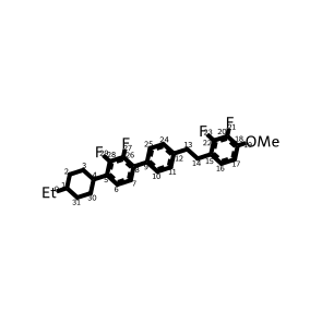 CCC1CCC(c2ccc(-c3ccc(CCc4ccc(OC)c(F)c4F)cc3)c(F)c2F)CC1